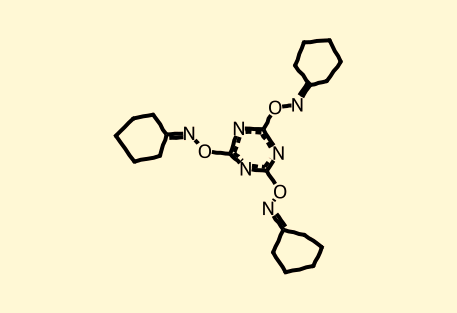 C1CCC(=NOc2nc(ON=C3CCCCC3)nc(ON=C3CCCCC3)n2)CC1